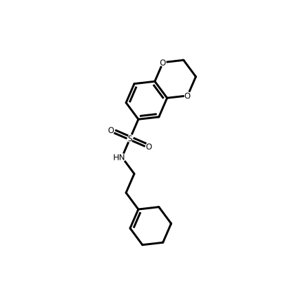 O=S(=O)(NCCC1=CCCCC1)c1ccc2c(c1)OCCO2